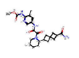 Cc1cc(NC(=O)C(=O)N2C[C@@H](C)CC[C@@H]2C2CC3(CC(C(N)=O)C3)C2)cnc1NC(=O)OC(C)(C)C